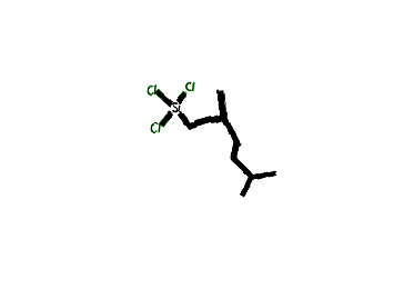 CC(C)CCC(C)C[Si](Cl)(Cl)Cl